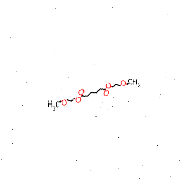 C=COCCCOC(=O)CCCCC(=O)OCCCOC=C